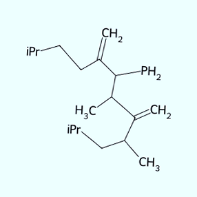 C=C(C(C)CC(C)C)C(C)C(P)C(=C)CCC(C)C